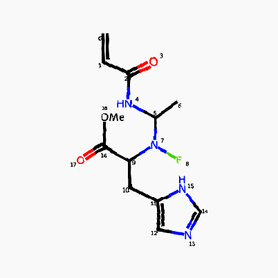 C=CC(=O)NC(C)N(F)C(Cc1cnc[nH]1)C(=O)OC